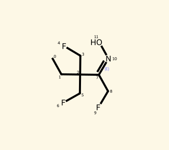 CCC(CF)(CF)/C(CF)=N\O